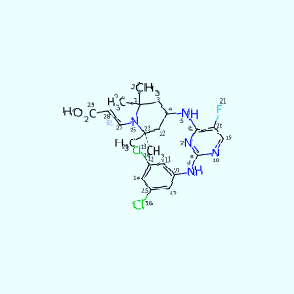 CC1(C)CC(Nc2nc(Nc3cc(Cl)cc(Cl)c3)ncc2F)CC(C)(C)N1/C=C/C(=O)O